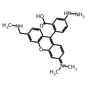 CNCc1ccc2c(-c3ccc(NN)cc3C(=O)O)c3ccc(=[N+](C)C)cc-3oc2c1